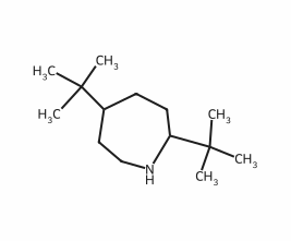 CC(C)(C)C1CCNC(C(C)(C)C)CC1